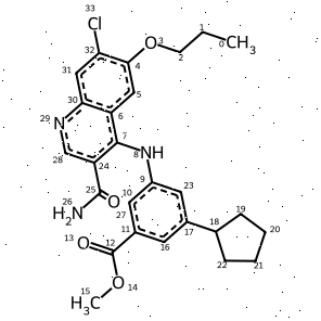 CCCOc1cc2c(Nc3cc(C(=O)OC)cc(C4CCCC4)c3)c(C(N)=O)cnc2cc1Cl